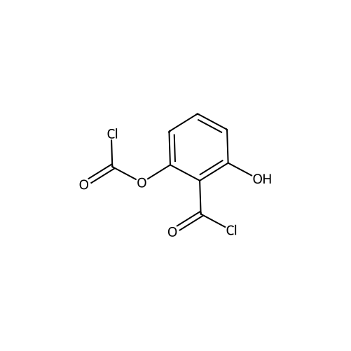 O=C(Cl)Oc1cccc(O)c1C(=O)Cl